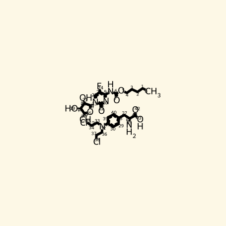 CCCCCOC(=O)Nc1nc(=O)n([C@@H]2O[C@H](C)[C@@H](O)[C@H]2O)cc1F.N[C@@H](Cc1ccc(N(CCCl)CCCl)cc1)C(=O)O